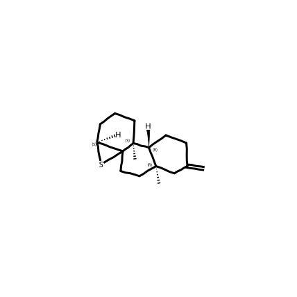 C=C1CC[C@@H]2[C@](C)(CCC34S[C@H]3CCC[C@@]24C)C1